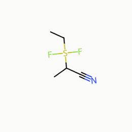 CCS(F)(F)C(C)C#N